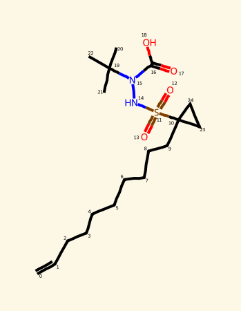 C=CCCCCCCCCC1(S(=O)(=O)NN(C(=O)O)C(C)(C)C)CC1